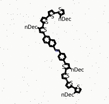 CCCCCCCCCCc1ccsc1-c1ccc(-c2ccc(-c3sc(-c4ccc(/C=C/c5ccc6cc(-c7cc(CCCCCCCCCC)c(-c8ccc(-c9ccc(-c%10sccc%10CCCCCCCCCC)s9)s8)s7)ccc6c5)cc4)cc3CCCCCCCCCC)s2)s1